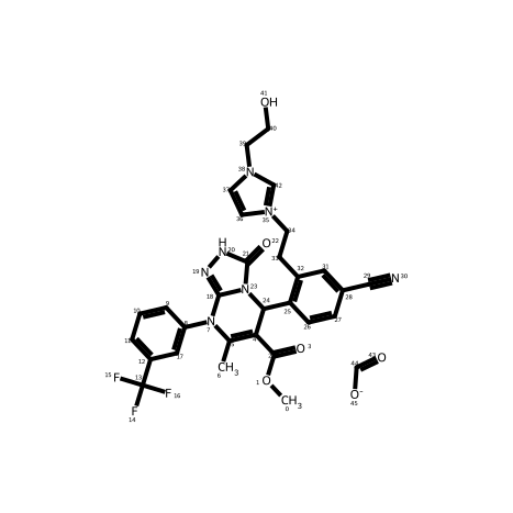 COC(=O)C1=C(C)N(c2cccc(C(F)(F)F)c2)c2n[nH]c(=O)n2C1c1ccc(C#N)cc1CC[n+]1ccn(CCO)c1.O=C[O-]